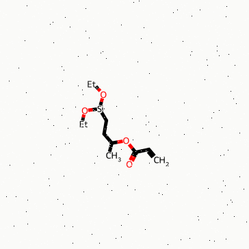 C=CC(=O)OC(C)CC[Si](OCC)OCC